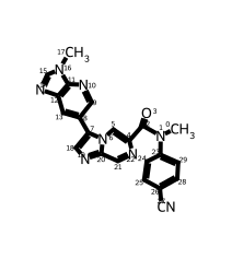 CN(C(=O)c1cn2c(-c3cnc4c(c3)ncn4C)cnc2cn1)c1ccc(C#N)cc1